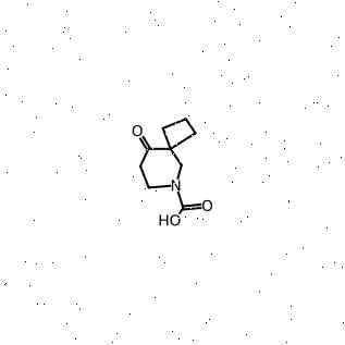 O=C(O)N1CCC(=O)C2(CCC2)C1